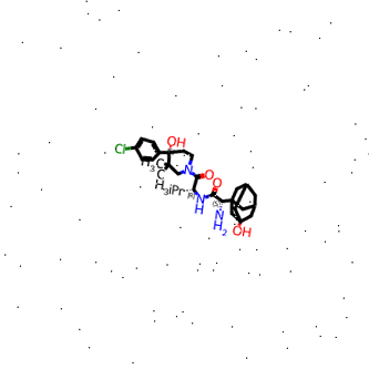 CC(C)[C@@H](NC(=O)[C@@H](N)C12CC3CC(CC(O)(C3)C1)C2)C(=O)N1CC[C@](O)(c2ccc(Cl)cc2)C(C)(C)C1